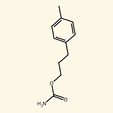 Cc1ccc(CCCOC(N)=O)cc1